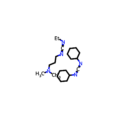 C(=NC1CCCCC1)=NC1CCCCC1.CCN=C=NCCCN(C)C